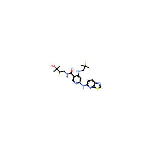 CC(C)(F)CNc1cc(Nc2ccc3ncsc3n2)ncc1C(=O)NC[C@@H](F)C(C)(C)O